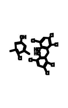 Cc1cc(O)cc(C)c1Cl.Oc1c(Cl)cc(Cl)c(Cl)c1Cc1c(O)c(Cl)cc(Cl)c1Cl